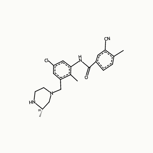 Cc1ccc(C(=O)Nc2cc(Cl)cc(CN3CCN[C@@H](C)C3)c2C)cc1C#N